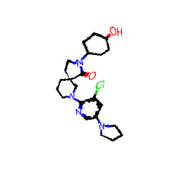 O=C1N(C2CCC(O)CC2)CC[C@@]12CCCN(c1ncc(N3CCCC3)cc1Cl)C2